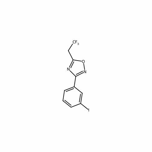 FC(F)(F)Cc1nc(-c2cccc(I)c2)no1